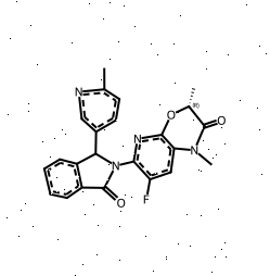 Cc1ccc(C2c3ccccc3C(=O)N2c2nc3c(cc2F)N(C)C(=O)[C@@H](C)O3)cn1